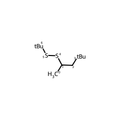 CC(CC(C)(C)C)SSC(C)(C)C